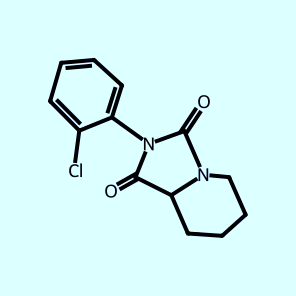 O=C1C2CCCCN2C(=O)N1c1ccccc1Cl